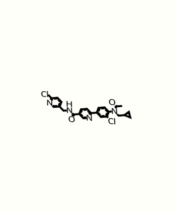 CC(=O)N(CC1CC1)c1ccc(-c2ccc(C(=O)NCc3ccc(Cl)nc3)cn2)cc1Cl